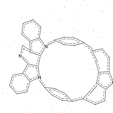 c1ccc2c(c1)c1cnc3c4ccccc4n4c5ccc(cc5)c5ccc6oc7ccc(cc7c6c5)c5ccc(cc5)n2c1c34